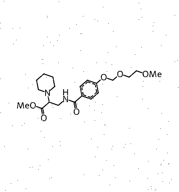 COCCOCOc1ccc(C(=O)NCC(C(=O)OC)N2CCCCC2)cc1